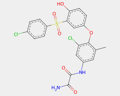 Cc1cc(NC(=O)C(N)=O)cc(Cl)c1Oc1ccc(O)c(S(=O)(=O)c2ccc(Cl)cc2)c1